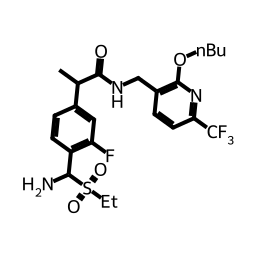 CCCCOc1nc(C(F)(F)F)ccc1CNC(=O)C(C)c1ccc(C(N)S(=O)(=O)CC)c(F)c1